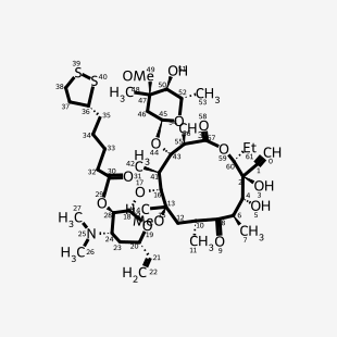 C#C[C@]1(O)[C@H](O)[C@@H](C)C(=O)[C@H](C)C[C@@](C)(OC)[C@H](O[C@@H]2O[C@H](C=C)C[C@H](N(C)C)[C@H]2OC(=O)CCCC[C@@H]2CCSS2)[C@@H](C)[C@H](O[C@H]2C[C@@](C)(OC)[C@@H](O)[C@H](C)O2)[C@@H](C)C(=O)O[C@@H]1CC